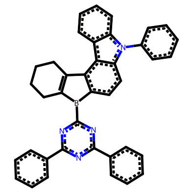 c1ccc(-c2nc(B3C4=C(CCCC4)c4c3ccc3c4c4ccccc4n3-c3ccccc3)nc(-c3ccccc3)n2)cc1